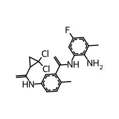 C=C(Nc1cc(F)cc(C)c1N)c1cc(NC(=C)C2CC2(Cl)Cl)ccc1C